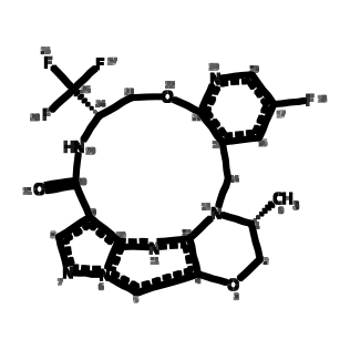 C[C@@H]1COc2cn3ncc4c3nc2N1Cc1cc(F)cnc1OC[C@@H](C(F)(F)F)NC4=O